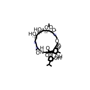 CO[C@H]1/C=C/CO[C@@]2(C)Oc3c(C)c(O)c4c(=O)c(c5oc6cc(C(C)C)cc(O)c6nc-5c4c3C2=O)NC(=O)/C(C)=C\C=C\[C@H](C)[C@H](O)[C@@H](C)[C@@H](O)[C@@H](C)[C@H](OC(C)=O)[C@@H]1C